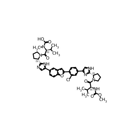 COC(=O)N[C@H](C(=O)N1CCC[C@H]1c1nc(-c2ccc(-c3cc4cc(-c5cnc([C@@H]6CCCN6C(=O)[C@H](C(C)C)N(C)C(=O)O)[nH]5)ccc4o3)c(Cl)c2)c[nH]1)C(C)C